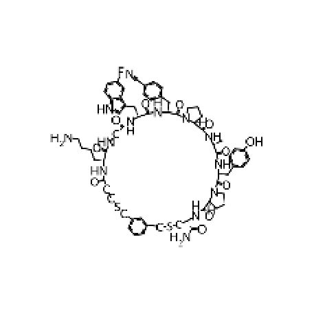 C[C@@H]1NC(=O)[C@@H]2CCCN2C(=O)[C@H](Cc2ccc(C#N)cc2)NC(=O)[C@H](Cc2c[nH]c3ccc(F)cc23)NC(=O)CNC(=O)[C@H](CCCCN)NC(=O)CCSCc2cccc(c2)CSC[C@@H](C(N)=O)NC(=O)[C@@H]2CCCN2C(=O)[C@H](Cc2ccc(O)cc2)NC1=O